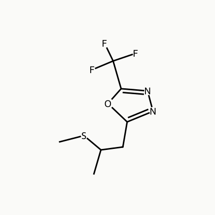 CSC(C)Cc1nnc(C(F)(F)F)o1